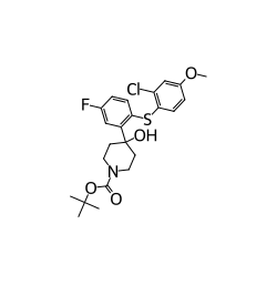 COc1ccc(Sc2ccc(F)cc2C2(O)CCN(C(=O)OC(C)(C)C)CC2)c(Cl)c1